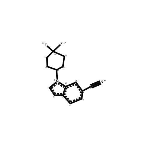 N#Cc1ccc2ccn(C3CCC(F)(F)CC3)c2c1